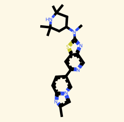 Cc1cn2cc(-c3cc4sc(N(C)C5CC(C)(C)NC(C)(C)C5)nc4cn3)ccc2n1